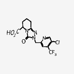 O=C(O)C1CCCc2nn(Cc3cc(C(F)(F)F)c(Cl)cn3)c(=O)n21